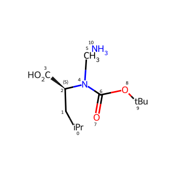 CC(C)C[C@@H](C(=O)O)N(C)C(=O)OC(C)(C)C.N